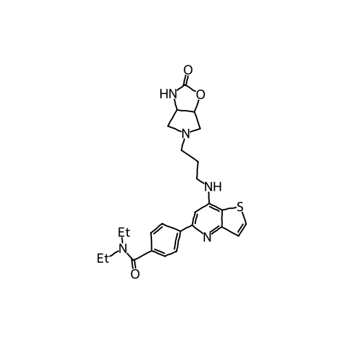 CCN(CC)C(=O)c1ccc(-c2cc(NCCCN3CC4NC(=O)OC4C3)c3sccc3n2)cc1